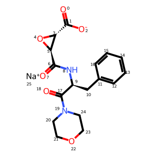 O=C([O-])[C@H]1O[C@@H]1C(=O)N[C@@H](Cc1ccccc1)C(=O)N1CCOCC1.[Na+]